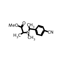 COC(=O)C(C)N(C)C(C)c1ccc(C#N)cc1